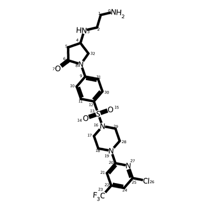 NCCNC1CC(=O)N(c2ccc(S(=O)(=O)N3CCN(c4cc(C(F)(F)F)cc(Cl)n4)CC3)cc2)C1